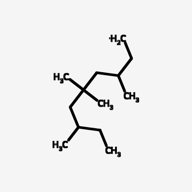 [CH2]CC(C)CC(C)(C)CC(C)CC